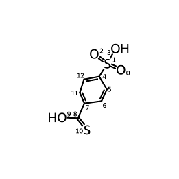 O=S(=O)(O)c1ccc(C(O)=S)cc1